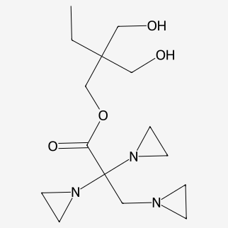 CCC(CO)(CO)COC(=O)C(CN1CC1)(N1CC1)N1CC1